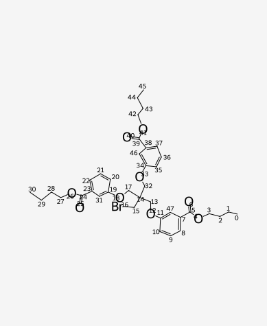 CCCCOC(=O)c1cccc(OCC(CBr)(COc2cccc(C(=O)OCCCC)c2)COc2cccc(C(=O)OCCCC)c2)c1